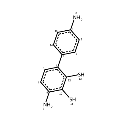 Nc1ccc(-c2ccc(N)c(S)c2S)cc1